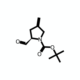 C=C1C[C@H](C=O)N(C(=O)OC(C)(C)C)C1